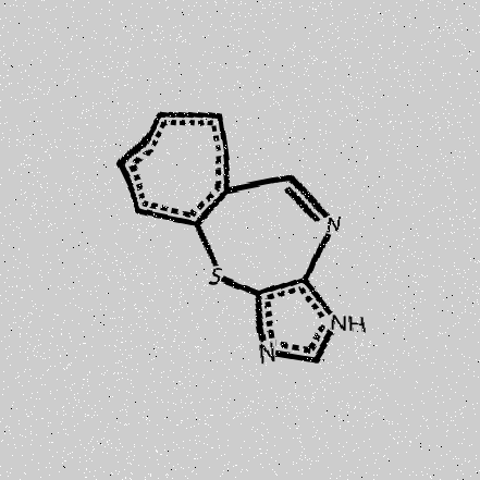 [c]1nc2c([nH]1)N=Cc1ccccc1S2